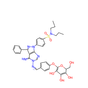 CCCN(CCC)S(=O)(=O)c1ccc(-n2nc(-c3ccccc3)c3c(=N)n(/N=C\c4ccc(OC5=C(O)C(O)=C(O)C(CO)O5)cc4)cnc32)cc1